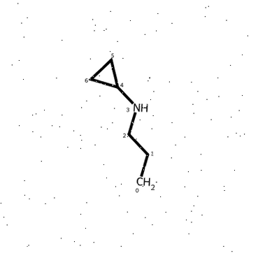 [CH2]CCNC1CC1